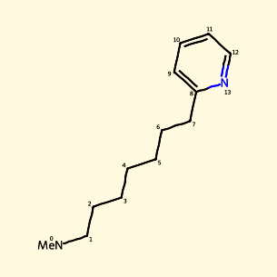 CNCCCCCCCc1ccccn1